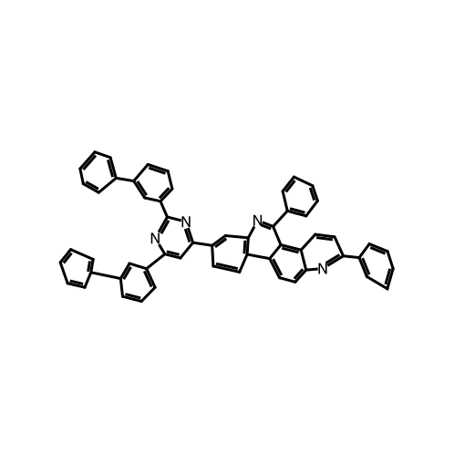 c1ccc(-c2cccc(-c3cc(-c4ccc5c(c4)nc(-c4ccccc4)c4c6ccc(-c7ccccc7)nc6ccc54)nc(-c4cccc(-c5ccccc5)c4)n3)c2)cc1